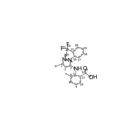 Cc1cc(Nc2c(C)cccc2C(=O)O)n(-c2ccccc2C(F)(F)F)n1